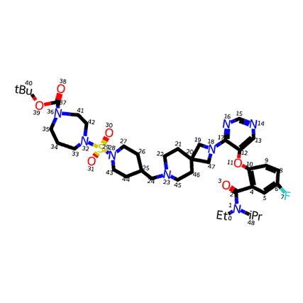 CCN(C(=O)c1cc(F)ccc1Oc1cncnc1N1CC2(CCN(CC3CCN(S(=O)(=O)N4CCCN(C(=O)OC(C)(C)C)CC4)CC3)CC2)C1)C(C)C